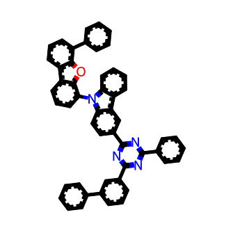 c1ccc(-c2cccc(-c3nc(-c4ccccc4)nc(-c4ccc5c(c4)c4ccccc4n5-c4cccc5c4oc4c(-c6ccccc6)cccc45)n3)c2)cc1